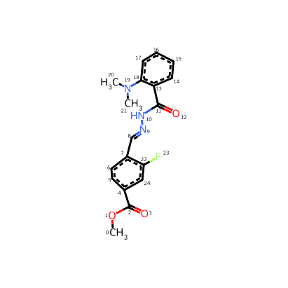 COC(=O)c1ccc(/C=N/NC(=O)c2ccccc2N(C)C)c(F)c1